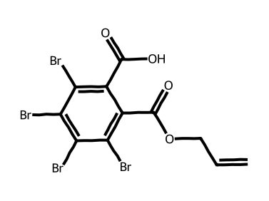 C=CCOC(=O)c1c(Br)c(Br)c(Br)c(Br)c1C(=O)O